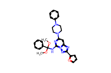 COC(Nc1nc(N2CCN(c3ccccc3)CC2)cc2nc(-c3ccco3)nn12)(OC)c1ccccc1